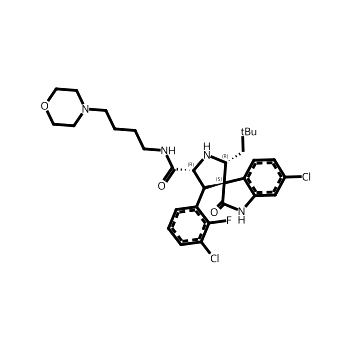 CC(C)(C)C[C@H]1N[C@@H](C(=O)NCCCCN2CCOCC2)C(c2cccc(Cl)c2F)[C@@]12C(=O)Nc1cc(Cl)ccc12